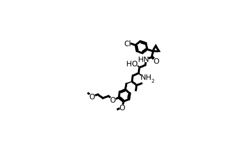 COCCCOc1cc(C[C@@H](C[C@H](N)[C@@H](O)CNC(=O)C2(c3ccc(Cl)cc3)CC2)C(C)C)ccc1OC